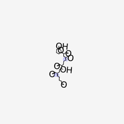 O=CCCC/C=C(/C=O)CCC(O)C(C=O)CC/C=C(/C=O)CC(C=O)C1CCCC(O)O1